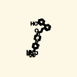 CS(=O)(=O)NC(=O)c1ccc(N2CCN(C(=O)CCc3ccccc3-c3cccc(O)c3)CC2)cc1